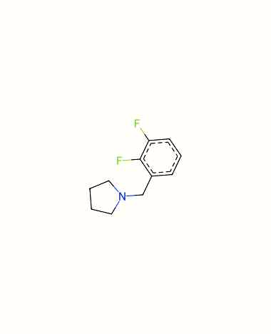 Fc1cccc(CN2CCCC2)c1F